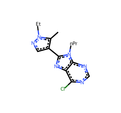 CCCn1c(-c2cnn(CC)c2C)nc2c(Cl)ncnc21